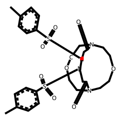 Cc1ccc(S(=O)(=O)N2CCN(S(=O)(=O)c3ccc(C)cc3)CC(=O)N3CCOCCN(CCOCC3)C(=O)C2)cc1